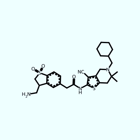 CC1(C)Cc2sc(NC(=O)Cc3ccc4c(c3)C(CN)CS4(=O)=O)c(C#N)c2CN1CC1CCCCC1